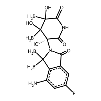 BC1(B)c2c(N)cc(F)cc2C(=O)N1[C@]1(O)C(=O)NC(=O)C(B)(O)C1(B)O